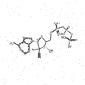 C#CC1(O)[C@@H](O)C(COP(=O)(O)OP(=O)(O)OP(=O)(O)O)O[C@H]1n1cnc2c(N)ncnc21